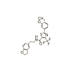 COc1cccc(-c2nc(C(F)(F)F)c(C(=O)NCCc3ccc4c(c3)CCO4)s2)c1